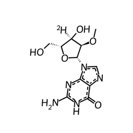 [2H][C@@]1(O)[C@@H](CO)O[C@@H](n2cnc3c(=O)[nH]c(N)nc32)[C@@H]1OC